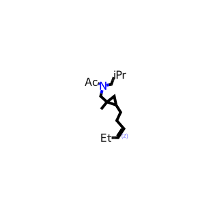 CC/C=C\CCC1CC1(C)CN(CC(C)C)C(C)=O